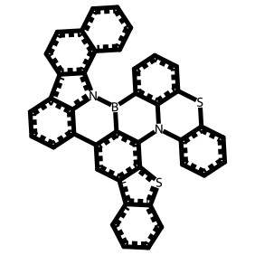 c1ccc2c(c1)Sc1cccc3c1N2c1c2c(cc4c1sc1ccccc14)-c1cccc4c5ccc6ccccc6c5n(c14)B32